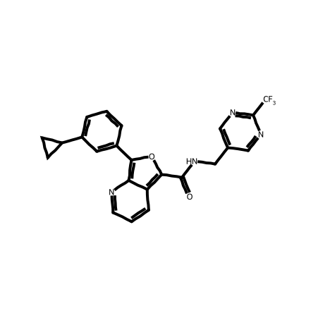 O=C(NCc1cnc(C(F)(F)F)nc1)c1oc(-c2cccc(C3CC3)c2)c2ncccc12